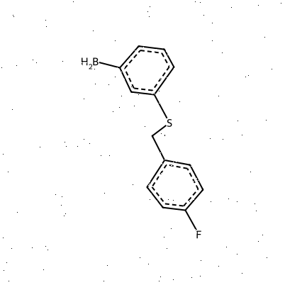 Bc1cccc(SCc2ccc(F)cc2)c1